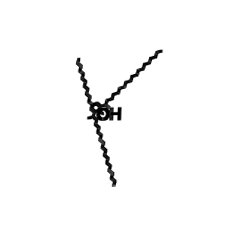 CCCCCCCCCCCCCCCCCCC(C)c1cc(CCCCCCCCCCCC)cc(C(C)CCCCCCCCCCCCCCCCCC)c1O